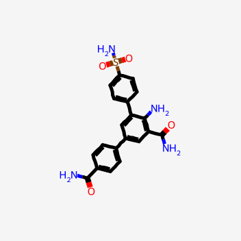 NC(=O)c1ccc(-c2cc(C(N)=O)c(N)c(-c3ccc(S(N)(=O)=O)cc3)c2)cc1